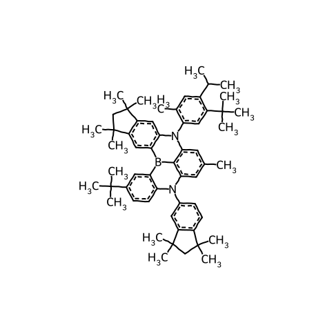 Cc1cc2c3c(c1)N(c1cc(C(C)(C)C)c(C(C)C)cc1C)c1cc4c(cc1B3c1cc(C(C)(C)C)ccc1N2c1ccc2c(c1)C(C)(C)CC2(C)C)C(C)(C)CC4(C)C